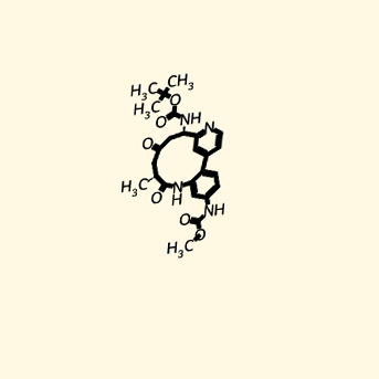 COC(=O)Nc1ccc2c(c1)NC(=O)[C@H](C)CC(=O)C[C@H](NC(=O)OC(C)(C)C)c1cc-2ccn1